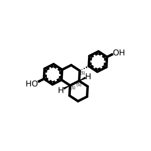 Oc1ccc([C@H]2Cc3ccc(O)cc3[C@H]3CCCC[C@@H]23)cc1